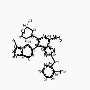 Cc1cnc2ccc(-c3c(N4CCO[C@H](C)C4)nc(N)n4nc(Cc5ncccc5F)nc34)cn12